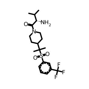 CC(C)[C@H](N)C(=O)N1CCC(C(C)(C)S(=O)(=O)c2cccc(C(F)(F)F)c2)CC1